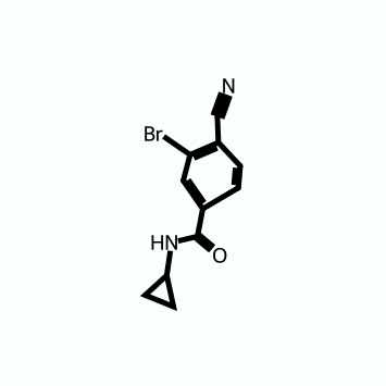 N#Cc1ccc(C(=O)NC2CC2)cc1Br